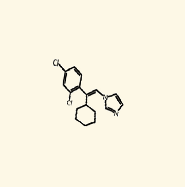 Clc1ccc(C(=Cn2ccnc2)C2CCCCC2)c(Cl)c1